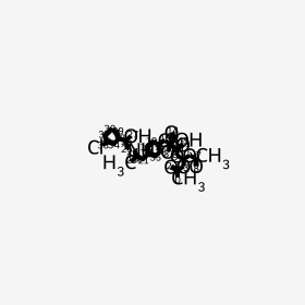 CC(=O)OC(OC(C)=O)OC(=O)C1(C(=O)O)Oc2ccc(CC(C)NCC(O)c3cccc(Cl)c3)cc2O1